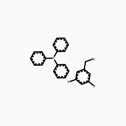 Fc1cc(F)cc(CBr)c1.c1ccc(P(c2ccccc2)c2ccccc2)cc1